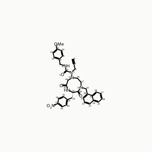 C#CCN(C(=O)NCc1ccc(OC)cc1)N1CCN(Cc2cccc3ccccc23)C(=O)[C@H](Cc2ccc([N+](=O)[O-])cc2)NC(=O)C1